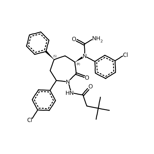 CC(C)(C)CC(=O)NN1C(=O)[C@H](N(C(N)=O)c2cccc(Cl)c2)C[C@H](c2ccccc2)CC1c1ccc(Cl)cc1